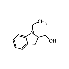 CCN1c2ccccc2CC1CO